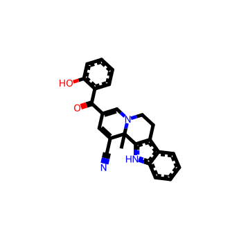 CC12C(C#N)=CC(C(=O)c3ccccc3O)=CN1CCc1c2[nH]c2ccccc12